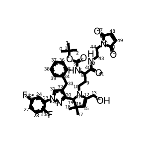 CC(C)(C)OC(=O)NC(CCN1C(CO)=CC(C)(C)C1c1nn(-c2cc(F)ccc2F)cc1Cc1ccccc1)C(=O)NCCN1C(=O)C=CC1=O